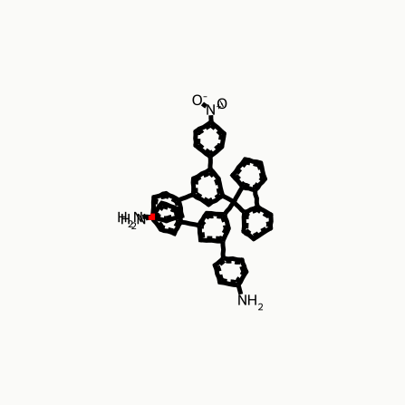 Nc1ccc(-c2cc(-c3ccc(N)cc3)cc(C3(c4cc(-c5ccc(N)cc5)cc(-c5ccc([N+](=O)[O-])cc5)c4)c4ccccc4-c4ccccc43)c2)cc1